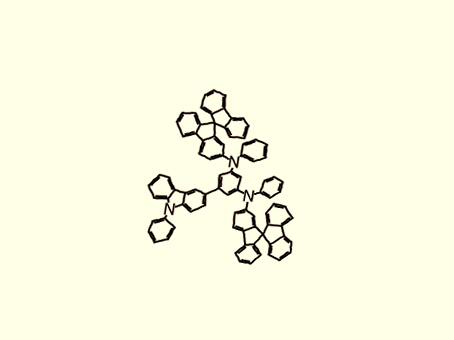 c1ccc(N(c2cc(-c3ccc4c(c3)c3ccccc3n4-c3ccccc3)cc(N(c3ccccc3)c3ccc4c(c3)C3(c5ccccc5-c5ccccc53)c3ccccc3-4)c2)c2ccc3c(c2)C2(c4ccccc4-c4ccccc42)c2ccccc2-3)cc1